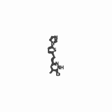 CC1CC(C=Cc2ccc(-n3ccnc3)s2)=NNC1=O